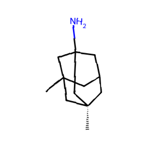 CC12CC3CC(N)(C1)C[C@@](C)(C3)C2